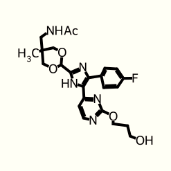 CC(=O)NCC1(C)COC(c2nc(-c3ccc(F)cc3)c(-c3ccnc(OCCCO)n3)[nH]2)OC1